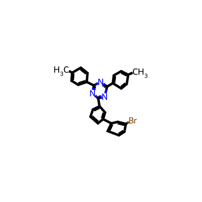 Cc1ccc(-c2nc(-c3ccc(C)cc3)nc(-c3cccc(-c4cccc(Br)c4)c3)n2)cc1